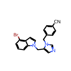 N#Cc1ccc(Cn2cncc2Cn2ccc3c(Br)cccc32)cc1